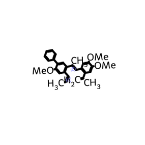 C=C(C)c1cc(OC)c(OC)cc1/C=C(\C)c1cc(-c2ccccc2)c(OC)cc1/C=C\C